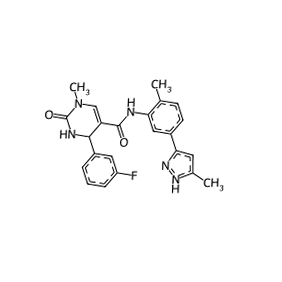 Cc1cc(-c2ccc(C)c(NC(=O)C3=CN(C)C(=O)NC3c3cccc(F)c3)c2)n[nH]1